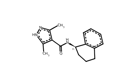 Cc1n[nH]c(C)c1C(=O)N[C@@H]1CCCc2ccccc21